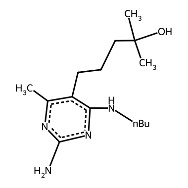 CCCCNc1nc(N)nc(C)c1CCCC(C)(C)O